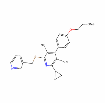 COCCOc1ccc(-c2c(C#N)c(SCc3cccnc3)nc(C3CC3)c2C#N)cc1